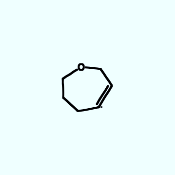 [C]1=CCOCCC1